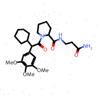 COc1cc(C(C(=O)N2CCCCC2C(=O)NCCC(N)=O)C2CCCCC2)cc(OC)c1OC